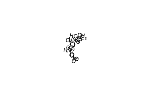 C[C@@](O)(C(=O)Nc1ccc(S(=O)(=O)Nc2ccc([N+](=O)[O-])cc2)cc1Cl)C(F)(F)F